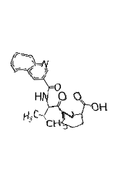 CC(C)C(NC(=O)c1cnc2ccccc2c1)C(=O)N1CCCC1C(=O)O